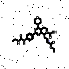 CCNC(=O)Nc1ccc(-c2nc3c(c(N4CCOCC4)n2)CCN(C(=O)O)C3C/C=C/C(=O)OCC)cc1